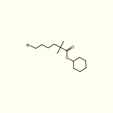 CC(C)(CCCCBr)C(=O)OC1CCCCC1